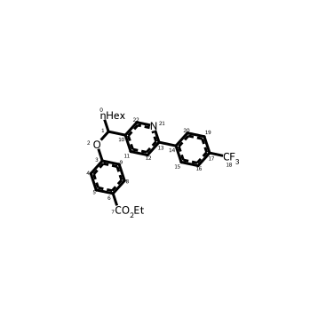 CCCCCCC(Oc1ccc(C(=O)OCC)cc1)c1ccc(-c2ccc(C(F)(F)F)cc2)nc1